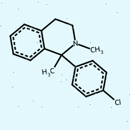 CN1CCc2ccccc2C1(C)c1ccc(Cl)cc1